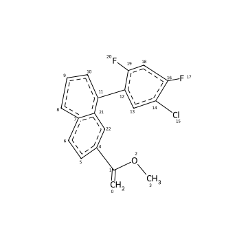 C=C(OC)c1ccc2cccc(-c3cc(Cl)c(F)cc3F)c2c1